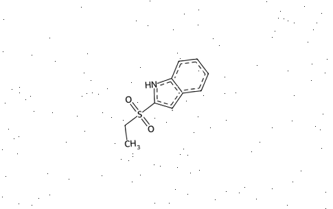 CCS(=O)(=O)c1[c]c2ccccc2[nH]1